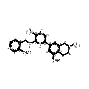 COc1cnccc1COc1nc(-c2cc3c(c(OC)c2)CCN(C)C3)cnc1N